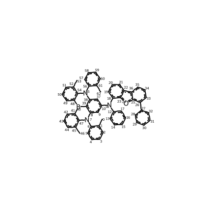 Cc1ccccc1N1c2cc(N(c3ccccc3)c3cccc4c3oc3c(-c5ccccc5)cccc34)cc3c2B(c2cccc(C)c21)c1cccc(C)c1N3c1ccccc1C